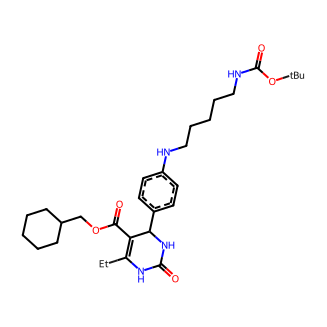 CCC1=C(C(=O)OCC2CCCCC2)C(c2ccc(NCCCCCNC(=O)OC(C)(C)C)cc2)NC(=O)N1